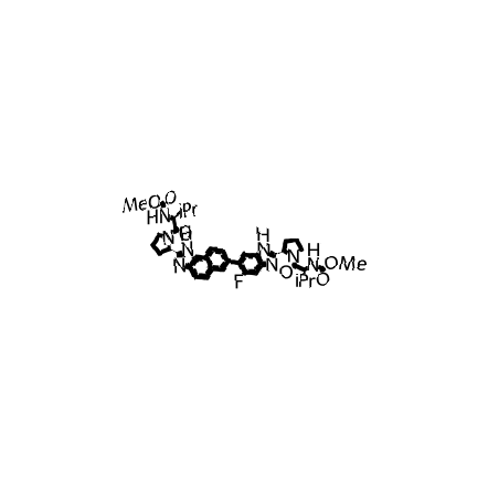 COC(=O)N[C@H](C(=O)N1CCC[C@H]1c1nc2cc(F)c(-c3ccc4c(ccc5nc([C@@H]6CCCN6C(=O)[C@@H](NC(=O)OC)C(C)C)[nH]c54)c3)cc2[nH]1)C(C)C